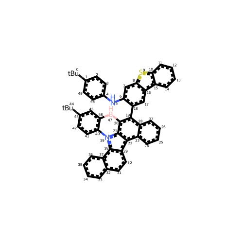 CC(C)(C)c1ccc(Nc2cc3sc4ccccc4c3cc2-c2c3c4c(c5ccccc25)c2ccc5ccccc5c2n4-c2ccc(C(C)(C)C)cc2B3)cc1